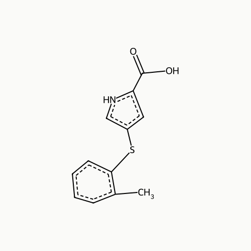 Cc1ccccc1Sc1c[nH]c(C(=O)O)c1